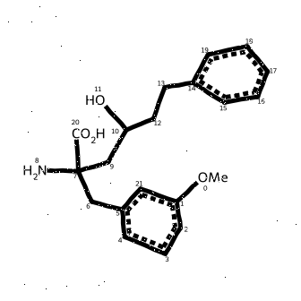 COc1cccc(CC(N)(CC(O)CCc2ccccc2)C(=O)O)c1